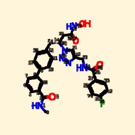 CNC(=O)c1cccc(-c2ccc(C[C@H](CC(=O)NO)n3cc(CNC(=O)c4ccc(F)cc4)nn3)cc2)c1